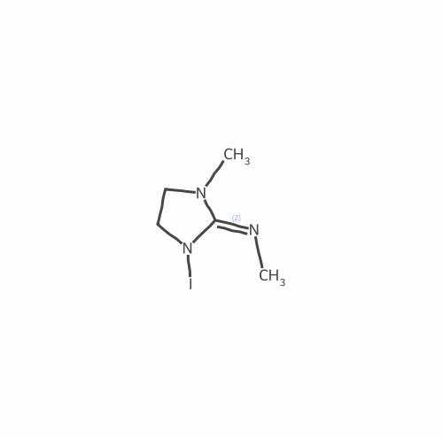 C/N=C1/N(C)CCN1I